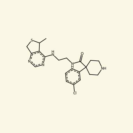 CC1SCc2ncnc(NCCNC(=O)C3(c4cccc(Cl)c4)CCNCC3)c21